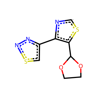 [c]1nc(-c2csnn2)c(C2OCCO2)s1